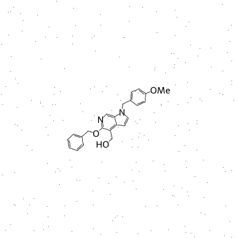 COc1ccc(Cn2ccc3c(CO)c(OCc4ccccc4)ncc32)cc1